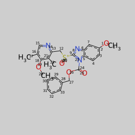 COc1ccc2c(c1)nc([S@@+]([O-])Cc1ncc(C)c(OC)c1C)n2C(=O)OCc1ccccc1